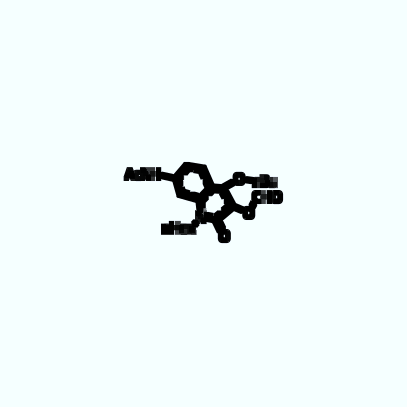 CCCCCCn1c(=O)c(OC=O)c(OCCCC)c2ccc(NC(C)=O)cc21